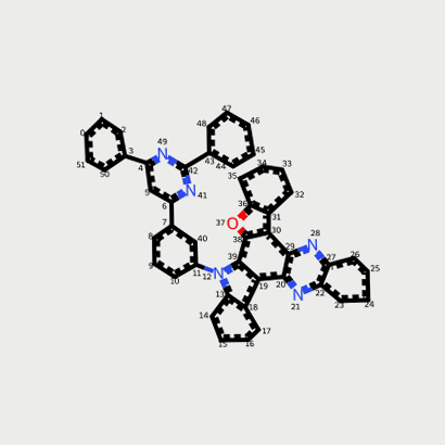 c1ccc(-c2cc(-c3cccc(-n4c5ccccc5c5c6nc7ccccc7nc6c6c7ccccc7oc6c54)c3)nc(-c3ccccc3)n2)cc1